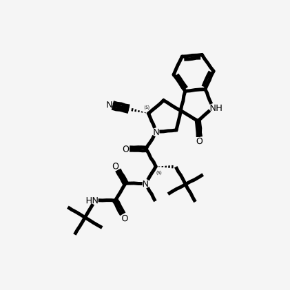 CN(C(=O)C(=O)NC(C)(C)C)[C@@H](CC(C)(C)C)C(=O)N1CC2(C[C@H]1C#N)C(=O)Nc1ccccc12